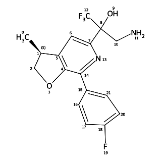 C[C@@H]1COc2c1cc(C(O)(CN)C(F)(F)F)nc2-c1ccc(F)cc1